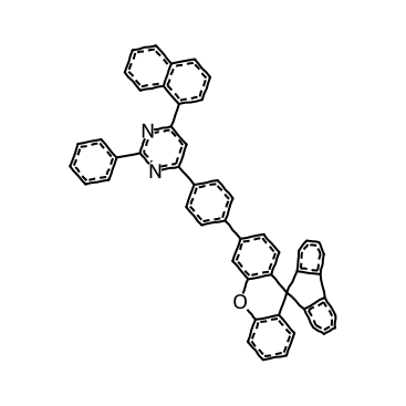 c1ccc(-c2nc(-c3ccc(-c4ccc5c(c4)Oc4ccccc4C54c5ccccc5-c5ccccc54)cc3)cc(-c3cccc4ccccc34)n2)cc1